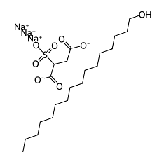 CCCCCCCCCCCCCCCCO.O=C([O-])CC(C(=O)[O-])S(=O)(=O)[O-].[Na+].[Na+].[Na+]